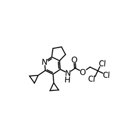 O=C(Nc1c2c(nc(C3CC3)c1C1CC1)CCC2)OCC(Cl)(Cl)Cl